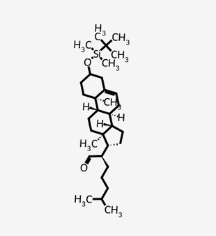 CC(C)CCC[C@@H](C=O)[C@H]1CC[C@H]2[C@@H]3CC=C4CC(O[Si](C)(C)C(C)(C)C)CC[C@]4(C)[C@H]3CC[C@]12C